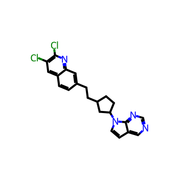 Clc1cc2ccc(CCC3CCC(n4ccc5cncnc54)C3)cc2nc1Cl